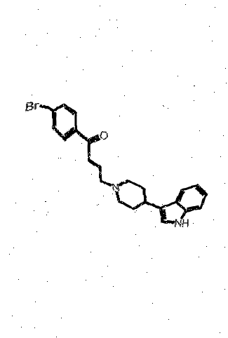 O=C(CCCN1CCC(c2c[nH]c3ccccc23)CC1)c1ccc(Br)cc1